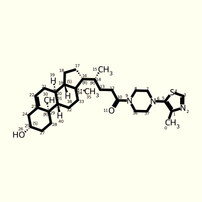 Cc1ncsc1N1CCN(C(=O)CC[C@@H](C)[C@H]2CC[C@H]3[C@@H]4CC=C5C[C@@H](O)CC[C@]5(C)[C@H]4CC[C@]23C)CC1